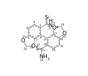 NC(=S)c1ccc2c(c1-c1c(C(N)=S)ccc3c1OCO3)OCO2